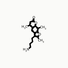 Cc1oc2c(C)c3oc(=O)cc(C)c3cc2c1CCCCN